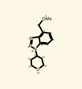 COCc1cccc2c1nnn2C1CCOCC1